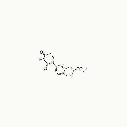 O=C1CCN(c2ccc3ccc(C(=O)O)cc3c2)C(=O)N1